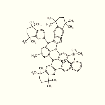 Cc1cc2c3c(c1)N(c1ccc4c(c1)C(C)(C)CCC4(C)C)c1c(sc4cc5c(cc14)C(C)(C)CCC5(C)C)B3c1cc3c(cc1N2c1cc2c(cc1-c1ccccc1)C(C)(C)CCC2(C)C)-c1ccccc1[Si]3(C)C